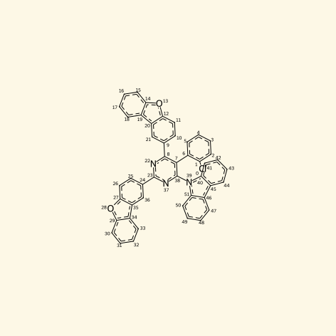 Clc1ccccc1-c1c(-c2ccc3oc4ccccc4c3c2)nc(-c2ccc3oc4ccccc4c3c2)nc1-n1c2ccccc2c2ccccc21